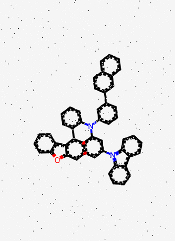 c1cc(-c2ccc3ccccc3c2)cc(N(c2cccc(-n3c4ccccc4c4ccccc43)c2)c2ccccc2-c2cccc3oc4ccccc4c23)c1